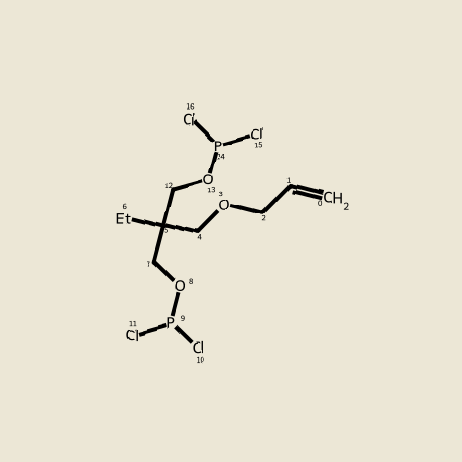 C=CCOCC(CC)(COP(Cl)Cl)COP(Cl)Cl